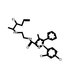 C=CCC(CC)C(C)NCCNC(=O)c1nn(-c2ccc(Cl)cc2Cl)c(-c2ccccc2)c1C